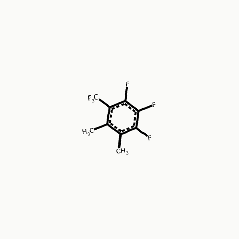 Cc1c(C)c(C(F)(F)F)c(F)c(F)c1F